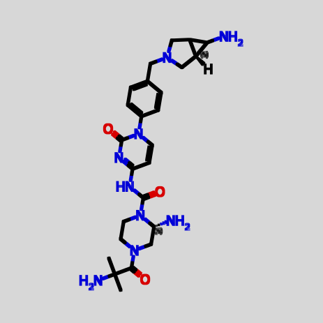 CC(C)(N)C(=O)N1CCN(C(=O)Nc2ccn(-c3ccc(CN4CC5C(N)[C@@H]5C4)cc3)c(=O)n2)[C@H](N)C1